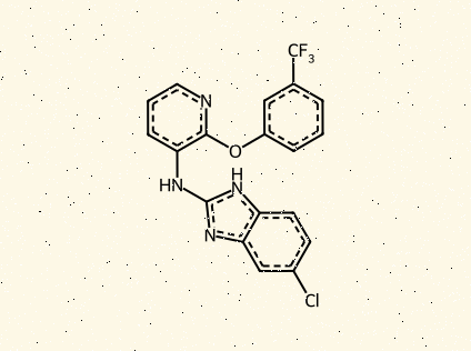 FC(F)(F)c1cccc(Oc2ncccc2Nc2nc3cc(Cl)ccc3[nH]2)c1